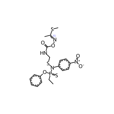 CCP(=S)(Oc1ccccc1)N(SCNC(=O)O/N=C(\C)SC)c1ccc([N+](=O)[O-])cc1